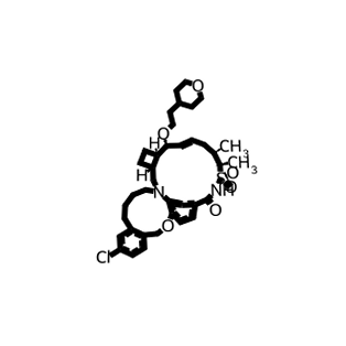 C[C@@H]1[C@@H](C)C/C=C/[C@H](OCCC2CCOCC2)[C@@H]2CC[C@H]2CN2CCCCc3cc(Cl)ccc3COc3ccc(cc32)C(=O)NS1(=O)=O